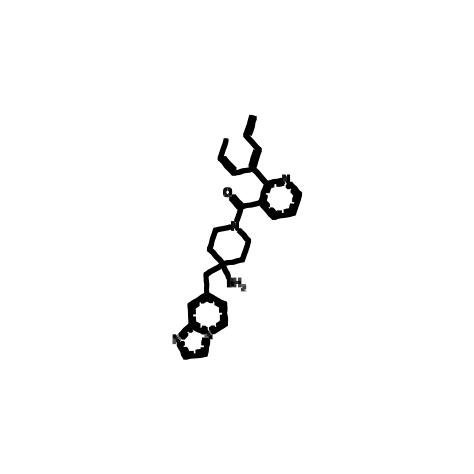 BC1(Cc2ccn3ccnc3c2)CCN(C(=O)c2cccnc2C(/C=C\C)=C/C=C)CC1